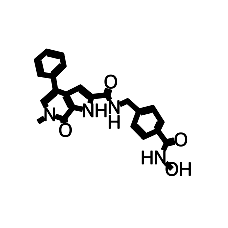 Cn1cc(-c2ccccc2)c2cc(C(=O)NCc3ccc(C(=O)NO)cc3)[nH]c2c1=O